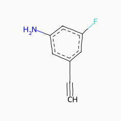 C#Cc1cc(N)cc(F)c1